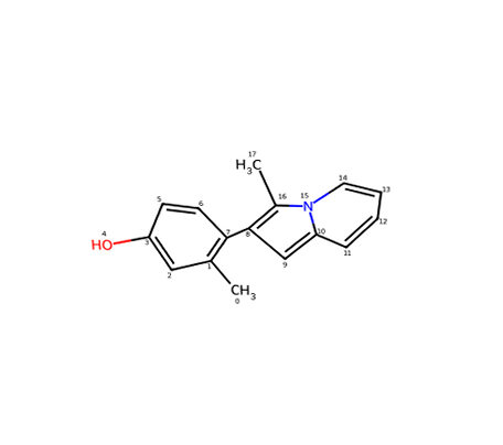 Cc1cc(O)ccc1-c1cc2ccccn2c1C